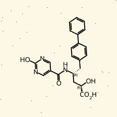 O=C(N[C@H](Cc1ccc(-c2ccccc2)cc1)C[C@@H](O)C(=O)O)c1cnc(O)nc1